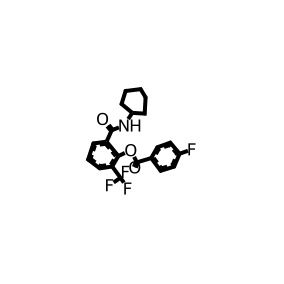 O=C(Oc1c(C(=O)NC2CCCCC2)cccc1C(F)(F)F)c1ccc(F)cc1